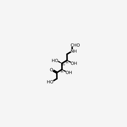 O=CNC[C@@H](O)[C@H](O)[C@@H](O)C(=O)CO